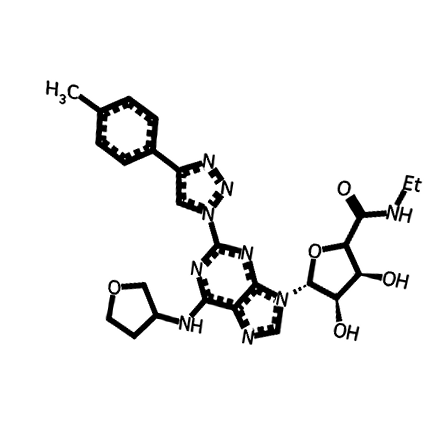 CCNC(=O)C1O[C@@H](n2cnc3c(NC4CCOC4)nc(-n4cc(-c5ccc(C)cc5)nn4)nc32)[C@H](O)[C@@H]1O